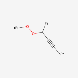 CCCC#CC(CC)OOC(C)(C)C